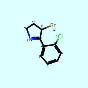 Clc1ccccc1C1=NCCC1Br